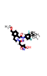 COCc1ccc2c(c1)CCN(C(=O)Cc1cc(O)no1)[C@H]2C(=O)Nc1cc(F)c([Si](C)(C)C)c(F)c1